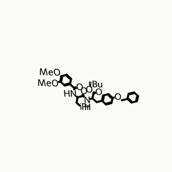 COc1ccc(C(=O)NC(CC(C)C)C(=O)NC(Cc2ccc(OCc3ccccc3)cc2)C(=O)OC(C)(C)C)cc1OC